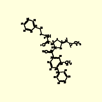 CON=C1C[C@@H](C(=O)NCCc2ccccc2)N(C(=O)c2ccc(-c3ccccc3)c(C)c2)C1